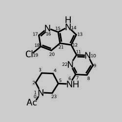 CC(=O)N1CCCC(Nc2ccnc(-c3c[nH]c4ncc(Cl)cc34)n2)C1